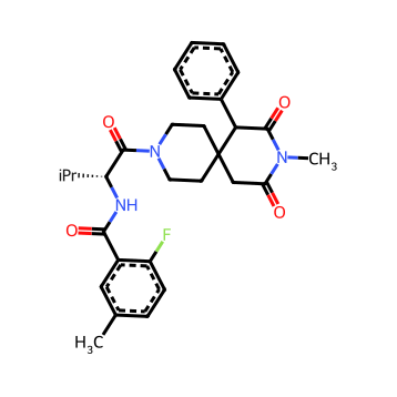 Cc1ccc(F)c(C(=O)N[C@@H](C(=O)N2CCC3(CC2)CC(=O)N(C)C(=O)C3c2ccccc2)C(C)C)c1